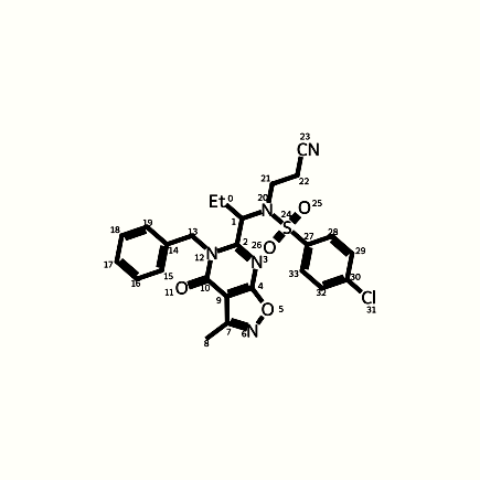 CCC(c1nc2onc(C)c2c(=O)n1Cc1ccccc1)N(CCC#N)S(=O)(=O)c1ccc(Cl)cc1